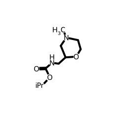 CC(C)OC(=O)NCC1CN(C)CCO1